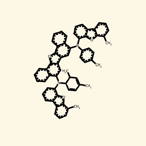 CC1=CC(C)C(N(c2cc3c4cc(N(c5ccc(C)cc5)c5cccc6c5oc5c(C)cccc56)c5ccccc5c4oc3c3ccccc23)c2cccc3c2oc2c(C)cccc23)C=C1